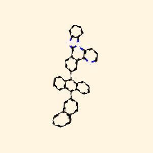 c1ccc2cc(-c3c4ccccc4c(-c4ccc5c(c4)c4ncccc4n4c6ccccc6nc54)c4ccccc34)ccc2c1